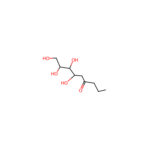 CCCC(=O)CC(O)C(O)C(O)CO